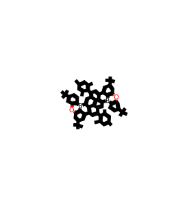 Cc1cc(C)c(-c2cc3c4c(cc5c(-c6c(C)cc(C)cc6C)cc6c7c(cc2c4c57)B2c4ccc(C(C)(C)C)cc4Oc4cc(C(C)(C)C)cc-6c42)B2c4ccc(C(C)(C)C)cc4Oc4cc(C(C)(C)C)cc-3c42)c(C)c1